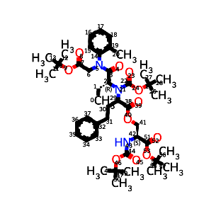 CC[C@H](C(=O)N(CC(=O)OC(C)(C)C)c1ccccc1C)N(C(=O)OC(C)(C)C)C(CCc1ccccc1)C(=O)OC[C@H](NC(=O)OC(C)(C)C)C(=O)OC(C)(C)C